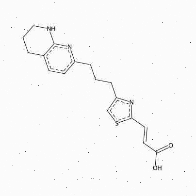 O=C(O)C=Cc1nc(CCCc2ccc3c(n2)NCCC3)cs1